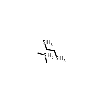 C[SiH2]C.[SiH3]CC[SiH3]